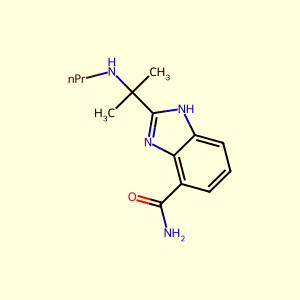 CCCNC(C)(C)c1nc2c(C(N)=O)cccc2[nH]1